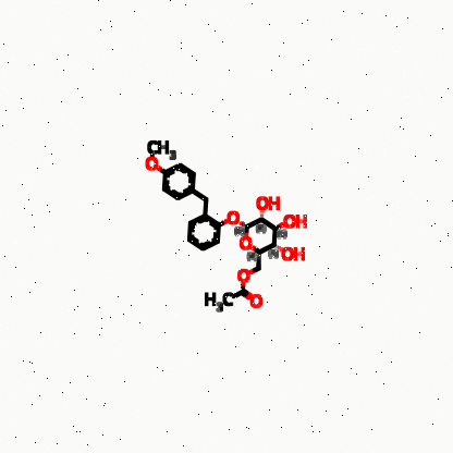 COc1ccc(Cc2ccccc2O[C@H]2O[C@H](COC(C)=O)[C@@H](O)[C@H](O)[C@H]2O)cc1